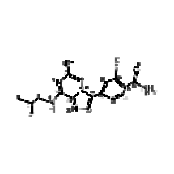 CC(C)CNc1nc(Br)cn2c(-c3ccc(C(N)=O)c(F)c3)cnc12